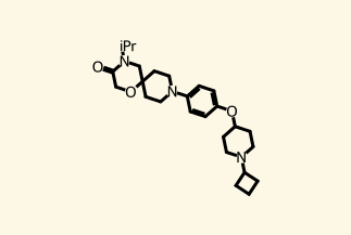 CC(C)N1CC2(CCN(c3ccc(OC4CCN(C5CCC5)CC4)cc3)CC2)OCC1=O